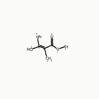 CCC/C(O)=C(/C)C(=O)OCC